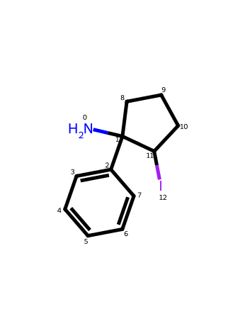 NC1(c2ccccc2)CCCC1I